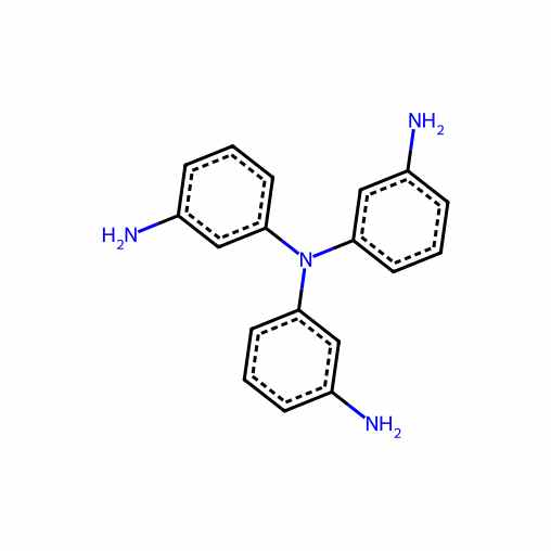 Nc1cccc(N(c2cccc(N)c2)c2cccc(N)c2)c1